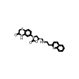 O=C1CSc2ccc(N3C[C@@H](CNCCc4ccc5ccccc5n4)OC3=O)cc2N1